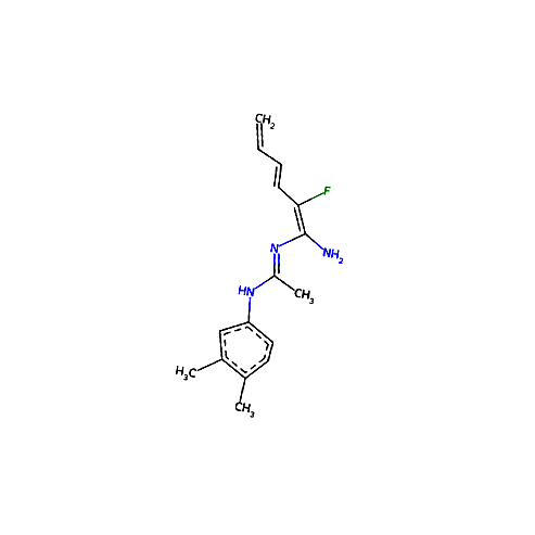 C=C/C=C/C(F)=C(N)\N=C(/C)Nc1ccc(C)c(C)c1